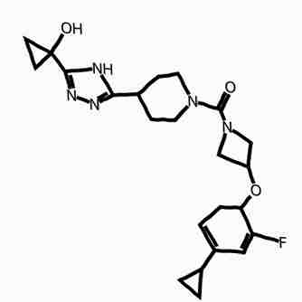 O=C(N1CCC(c2nnc(C3(O)CC3)[nH]2)CC1)N1CC(OC2CC=C(C3CC3)C=C2F)C1